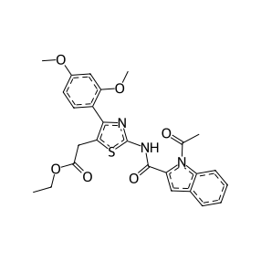 CCOC(=O)Cc1sc(NC(=O)c2cc3ccccc3n2C(C)=O)nc1-c1ccc(OC)cc1OC